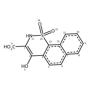 O=C(O)C1=C(O)c2ccc3ccccc3c2S(=O)(=O)N1